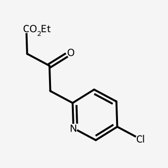 CCOC(=O)CC(=O)Cc1ccc(Cl)cn1